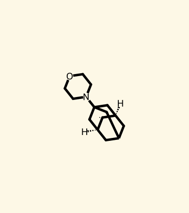 [CH]1[C@@H]2CC3C[C@H]1CC(N1CCOCC1)(C3)C2